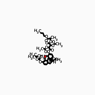 CCCCOC(=O)[C@H](C)OC(=O)[C@H](OC(C)=O)[C@@H](OC(C)=O)C(=O)OC1=CC[C@@]2(O)[C@H]3Cc4ccc(OC(=O)OC(C)(C)C)c5c4[C@@]2(CCN3C)[C@H]1O5